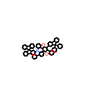 c1ccc(-c2ccccc2N(c2ccc3c(c2)C2(c4ccccc4-c4ccccc42)c2ccccc2-3)c2cccc3oc4c(-c5ccc6c(c5)C(c5ccccc5)(c5ccccc5)c5ccccc5-6)c5c(cc4c23)oc2ccccc25)cc1